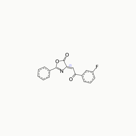 O=C1OC(c2ccccc2)=N/C1=C\C(=O)c1cccc(F)c1